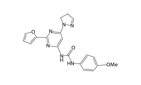 COc1ccc(NC(=O)Nc2cc(N3CCC=N3)nc(-c3ccco3)n2)cc1